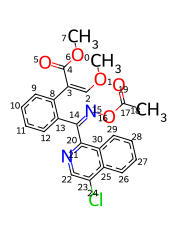 COC=C(C(=O)OC)c1ccccc1C(=NOC(C)=O)c1ncc(Cl)c2ccccc12